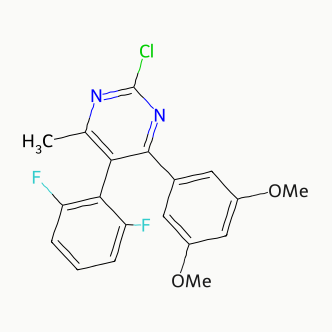 COc1cc(OC)cc(-c2nc(Cl)nc(C)c2-c2c(F)cccc2F)c1